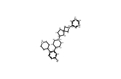 Fc1ccc(C2CCOCC2)c(C2CCN(C3CCC4(C3)CN(c3cncnc3)C4)CC2)c1